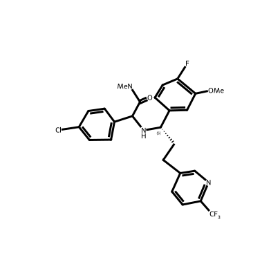 CNC(=O)C(N[C@@H](CCc1ccc(C(F)(F)F)nc1)c1ccc(F)c(OC)c1)c1ccc(Cl)cc1